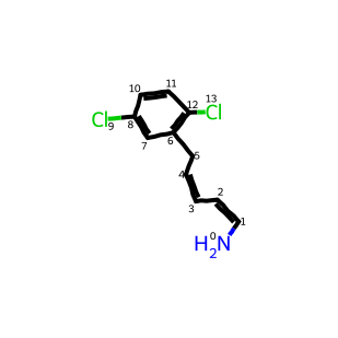 N/C=C\C=C/Cc1cc(Cl)ccc1Cl